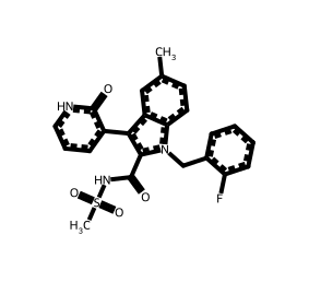 Cc1ccc2c(c1)c(-c1ccc[nH]c1=O)c(C(=O)NS(C)(=O)=O)n2Cc1ccccc1F